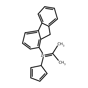 C[C](C)=[Zr]([c]1cccc2c1Cc1ccccc1-2)[CH]1C=CC=C1